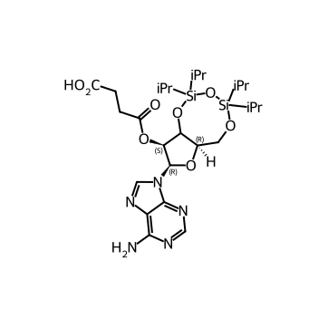 CC(C)[Si]1(C(C)C)OC[C@H]2O[C@@H](n3cnc4c(N)ncnc43)[C@@H](OC(=O)CCC(=O)O)C2O[Si](C(C)C)(C(C)C)O1